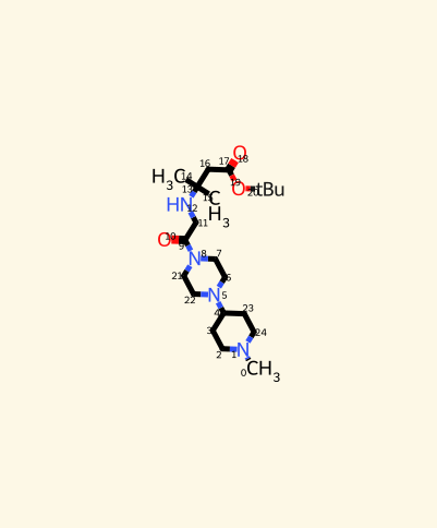 CN1CCC(N2CCN(C(=O)CNC(C)(C)CC(=O)OC(C)(C)C)CC2)CC1